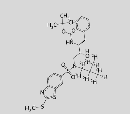 [2H]C([2H])([2H])C([2H])(C([2H])([2H])[2H])C([2H])([2H])N(C[C@@H](O)[C@H](Cc1ccccc1)NC(=O)OC(C)(C)C)S(=O)(=O)c1ccc2nc(SC)sc2c1